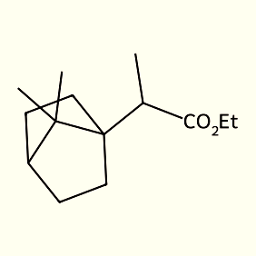 CCOC(=O)C(C)C12CCC(CC1)C2(C)C